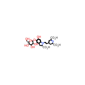 O=C(O)C1=N[C@H](C(=O)O)CC(C=CN2c3cc(O)c(O[C@@H]4O[C@H](CO)[C@@H](O)[C@H](O)[C@H]4O)cc3C[C@H]2C(=O)O)=C1